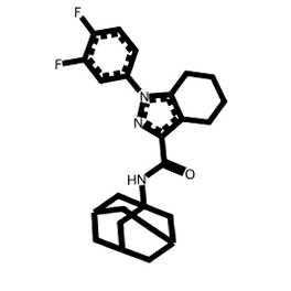 O=C(NC12CC3CC(CC(C3)C1)C2)c1nn(-c2ccc(F)c(F)c2)c2c1CCCC2